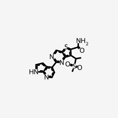 CC(c1c(C(N)=O)sc2cnc(-c3ccnc4[nH]ccc34)nc12)S(C)(=O)=O